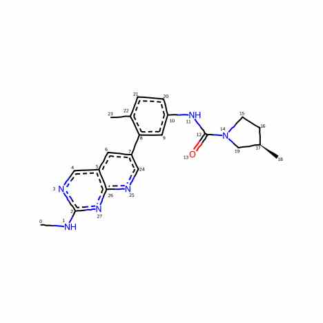 CNc1ncc2cc(-c3cc(NC(=O)N4CC[C@@H](C)C4)ccc3C)cnc2n1